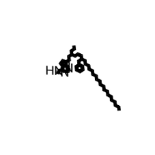 CCCCCCCCCCCCCCCCCCCCC(/C=C\CC(CCC)CCc1ccc2c(NC)ncnn12)Cc1ccccc1